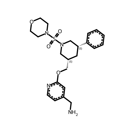 NCc1ccnc(OC[C@H]2C[C@@H](c3ccccc3)CN(S(=O)(=O)N3CCOCC3)C2)c1